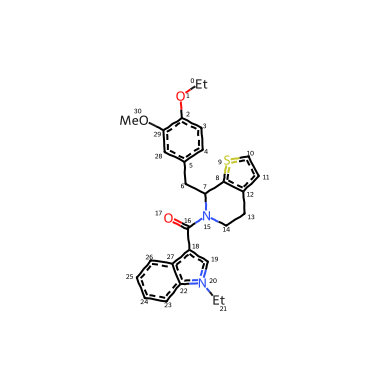 CCOc1ccc(CC2c3sccc3CCN2C(=O)c2cn(CC)c3ccccc23)cc1OC